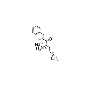 CSCC[C@@H](N)C(=O)NCc1ccccc1.[NaH]